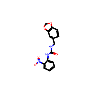 O=C(NCc1ccc2c(c1)OCO2)Nc1ccccc1[N+](=O)[O-]